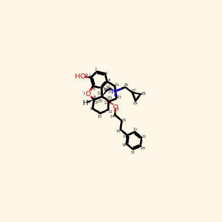 Oc1ccc2c3c1O[C@H]1CCC[C@@]4(OCCCc5ccccc5)C(C2)N(CC2CC2)CC[C@]314